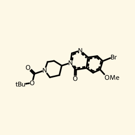 COc1cc2c(=O)n(C3CCN(C(=O)OC(C)(C)C)CC3)cnc2cc1Br